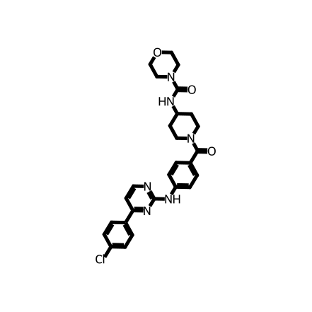 O=C(NC1CCN(C(=O)c2ccc(Nc3nccc(-c4ccc(Cl)cc4)n3)cc2)CC1)N1CCOCC1